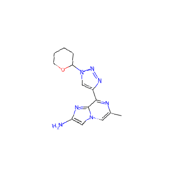 Cc1cn2cc(N)nc2c(-c2cn(C3CCCCO3)nn2)n1